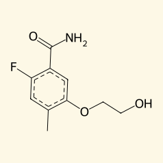 Cc1cc(F)c(C(N)=O)cc1OCCO